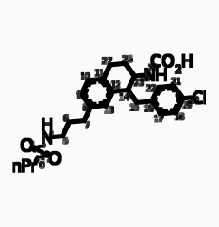 CCCS(=O)(=O)NCCCc1ccc2c(c1)C(Cc1ccc(Cl)cc1)C(NC(=O)O)CC2